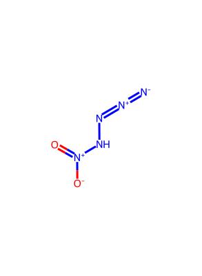 [N-]=[N+]=NN[N+](=O)[O-]